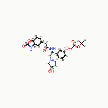 CC(C)(C)OC(=O)COc1cccc(C(CN2CC[C@H](O)C2)NC(=O)Cc2ccc3oc(=O)[nH]c3c2)c1